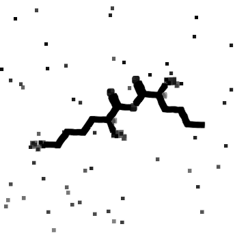 CCCC[C@H](N)C(=O)OC(=O)[C@@H](N)CCCCN